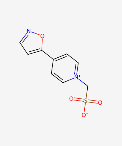 O=S(=O)([O-])C[n+]1ccc(-c2ccno2)cc1